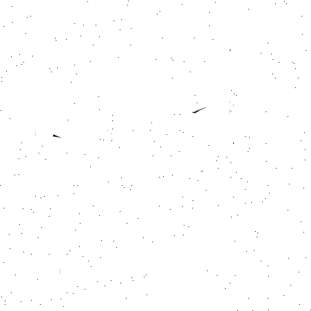 C#CCCCC[C@@H](C)C(=O)NCCCC[C@@H]1NC(=O)C=C1OC